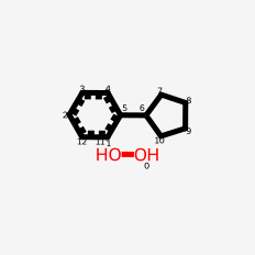 OO.c1ccc(C2CCCC2)cc1